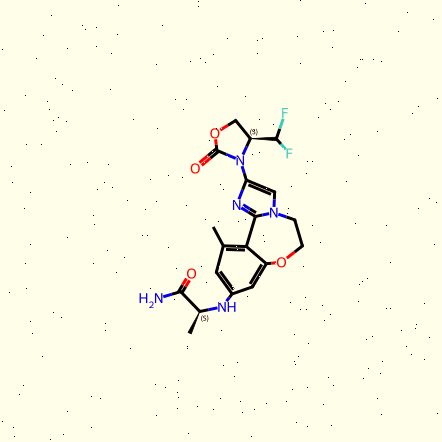 Cc1cc(N[C@@H](C)C(N)=O)cc2c1-c1nc(N3C(=O)OC[C@H]3C(F)F)cn1CCO2